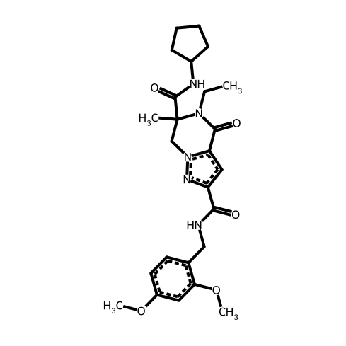 CCN1C(=O)c2cc(C(=O)NCc3ccc(OC)cc3OC)nn2CC1(C)C(=O)NC1CCCC1